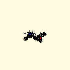 Cc1cc(-n2nc3c(c2-n2ccn(-c4ccc5c(cnn5C)c4F)c2=O)[C@H](C)N(C(=O)c2cn4cc(N5CCOC(C)(C)C5)ccc4c2C2(/C(N)=N/O)CC2)CC3)cc(C)c1F